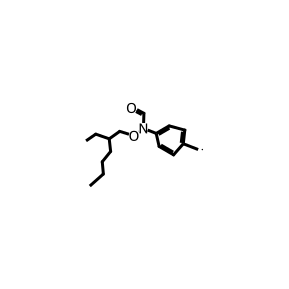 [CH2]c1ccc(N(C=O)OCC(CC)CCCC)cc1